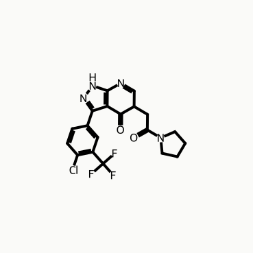 O=C1c2c(-c3ccc(Cl)c(C(F)(F)F)c3)n[nH]c2N=CC1CC(=O)N1CCCC1